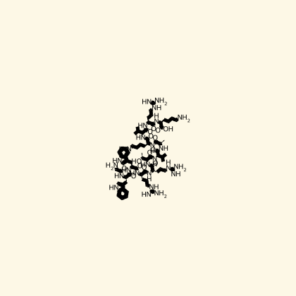 CC(C)[C@H](NC(=O)[C@H](CCCCN)NC(=O)[C@H](C)NC(=O)[C@@H](NC(=O)[C@@H](NC(=O)[C@H](CCCNC(=N)N)NC(=O)[C@H](CCCNC(=N)N)NC(=O)[C@H](Cc1c[nH]c2ccccc12)NC(=O)[C@H](Cc1c[nH]c2ccccc12)NC(=O)CN)[C@@H](C)O)C(C)C)C(=O)N[C@@H](CCCNC(=N)N)C(=O)N[C@@H](CCCCN)C(=O)O